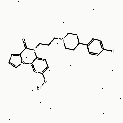 CCOc1ccc2c(c1)n1cccc1c(=O)n2CCCN1CCC(c2ccc(Cl)cc2)CC1